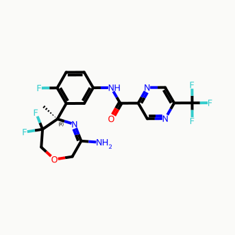 C[C@]1(c2cc(NC(=O)c3cnc(C(F)(F)F)cn3)ccc2F)N=C(N)COCC1(F)F